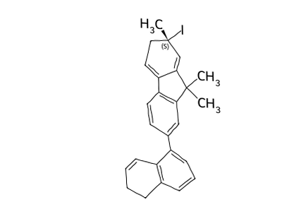 CC1(C)C2=C[C@@](C)(I)CC=C2c2ccc(-c3cccc4c3C=CCC4)cc21